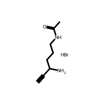 Br.C#CC(N)CCCNC(C)=O